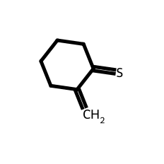 C=C1CCCCC1=S